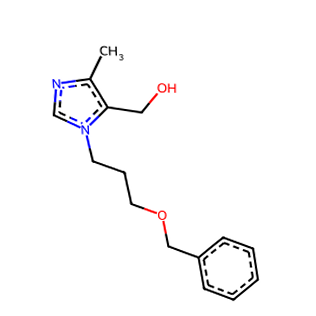 Cc1ncn(CCCOCc2ccccc2)c1CO